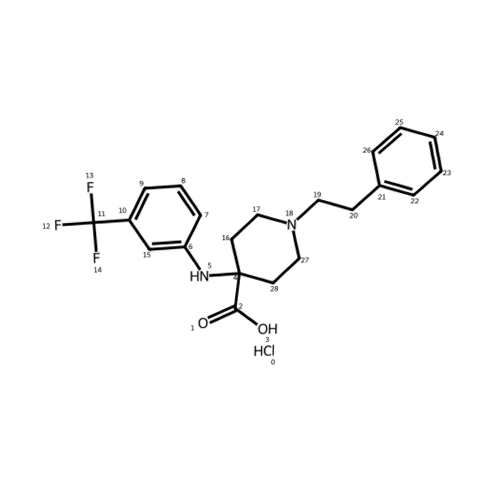 Cl.O=C(O)C1(Nc2cccc(C(F)(F)F)c2)CCN(CCc2ccccc2)CC1